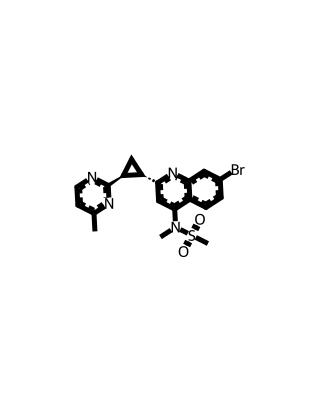 Cc1ccnc([C@H]2C[C@@H]2c2cc(N(C)S(C)(=O)=O)c3ccc(Br)cc3n2)n1